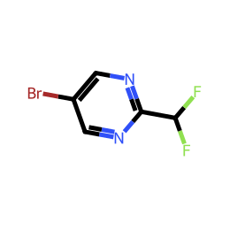 FC(F)c1ncc(Br)cn1